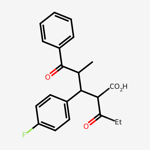 CCC(=O)C(C(=O)O)C(c1ccc(F)cc1)C(C)C(=O)c1ccccc1